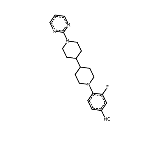 [C-]#[N+]c1ccc(N2CCC(C3CCN(c4ncccn4)CC3)CC2)c(F)c1